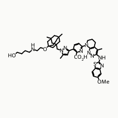 COc1ccc2sc(Nc3nnc4c(c3C)CCCN4c3ccc(-c4cc(C)n(CC56CC7(C)CC(C)(C5)CC(OCCNCCCCO)(C7)C6)n4)c(C(=O)O)n3)nc2c1